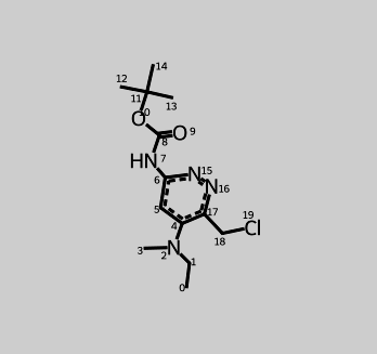 CCN(C)c1cc(NC(=O)OC(C)(C)C)nnc1CCl